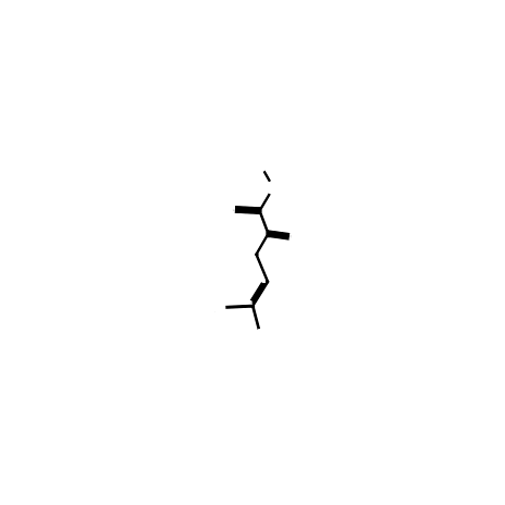 CCOC(=O)C(=O)CC=C(C)C